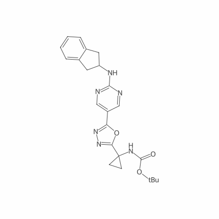 CC(C)(C)OC(=O)NC1(c2nnc(-c3cnc(NC4Cc5ccccc5C4)nc3)o2)CC1